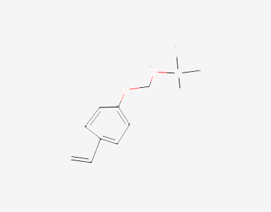 C=Cc1ccc(OCO[Si](C)(C)C)cc1